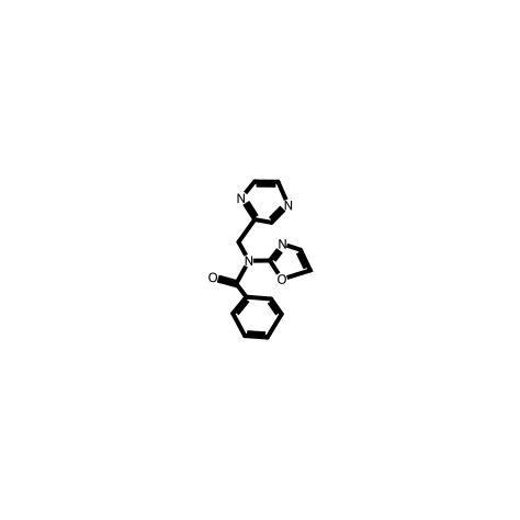 O=C(c1ccccc1)N(Cc1cnccn1)c1ncco1